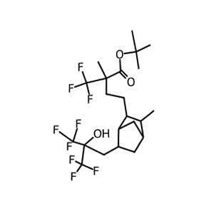 CC1C2CC(CC(O)(C(F)(F)F)C(F)(F)F)C(C2)C1CCC(C)(C(=O)OC(C)(C)C)C(F)(F)F